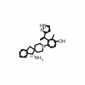 C=C(c1cc[nH]n1)c1c(N2CCC3(CC2)Cc2ccccc2[C@H]3N)ccc(O)c1C